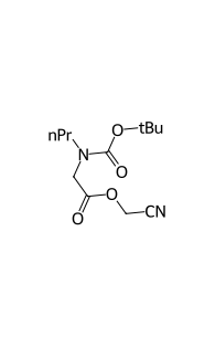 CCCN(CC(=O)OCC#N)C(=O)OC(C)(C)C